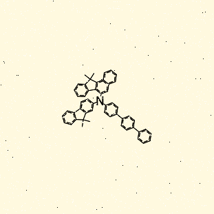 CC1(C)c2ccccc2-c2ccc(N(c3ccc(-c4ccc(-c5ccccc5)cc4)cc3)c3cc4ccccc4c4c3-c3ccccc3C4(C)C)cc21